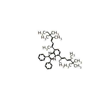 CCC(C)(C)/C(C)=C/C=C(\C)c1ccc(/C(C)=C/C=C(\C)C(C)(C)C)c2nc(-c3ccccc3)c(-c3ccccc3)nc12